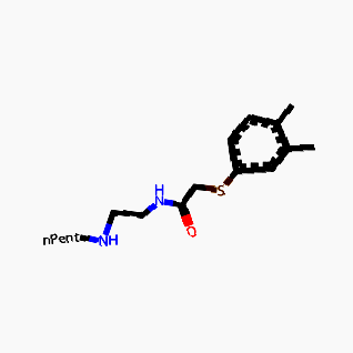 CCCCCNCCNC(=O)CSc1ccc(C)c(C)c1